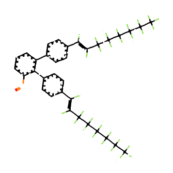 O=Pc1cccc(-c2ccc(C(F)=C(F)C(F)(F)C(F)(F)C(F)(F)C(F)(F)C(F)(F)C(F)(F)F)cc2)c1-c1ccc(C(F)=C(F)C(F)(F)C(F)(F)C(F)(F)C(F)(F)C(F)(F)C(F)(F)F)cc1